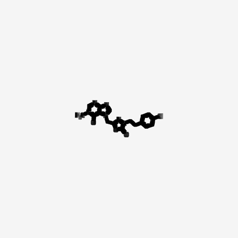 Cn1cnc2ncn(Cc3nn(CCc4ccc(Cl)cc4)c(=O)o3)c2c1=O